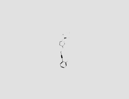 CC(C)(C)OC(=O)N1CCC(OCC#Cc2ccccc2F)C1